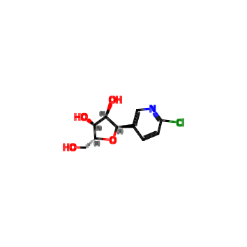 OC[C@H]1O[C@H](c2ccc(Cl)nc2)[C@H](O)[C@@H]1O